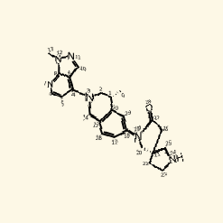 C[C@H]1CN(c2ccnc3c2cnn3C)Cc2ccc(N3C[C@]4(CCNC4)CC3=O)cc21